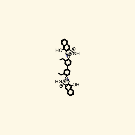 CCc1cc(-c2ccc(/N=N/c3c(S(=O)(=O)O)cc4ccccc4c3O)c(CC)c2)ccc1/N=N/c1c(S(=O)(=O)O)cc2ccccc2c1O